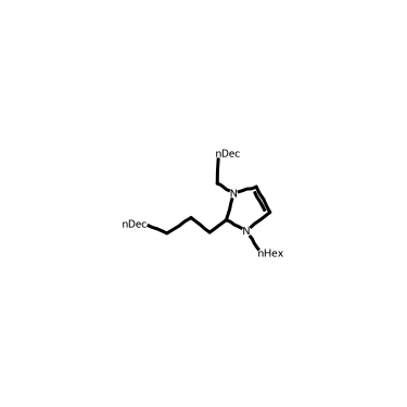 CCCCCCCCCCCCCC1N(CCCCCC)C=CN1CCCCCCCCCCC